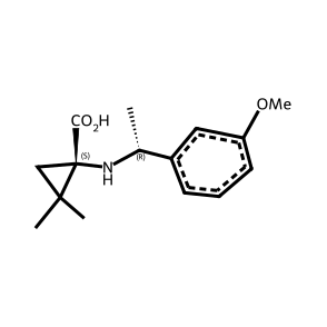 COc1cccc([C@@H](C)N[C@@]2(C(=O)O)CC2(C)C)c1